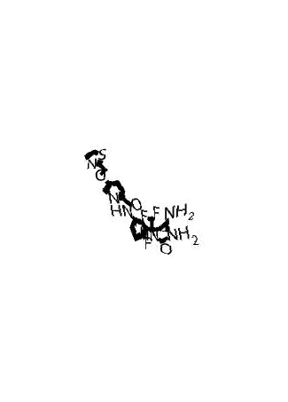 NC(=O)N[C@@](c1cc(NC(=O)c2ccc(OCc3nccs3)cn2)ccc1F)(C(F)F)[C@H]1C[C@H]1N